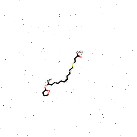 CCCC(CCCC/C=C\CCCCSCCC(=O)OC)OC1CCCO1